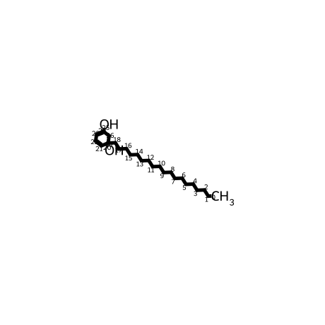 CCCCCCCCCCCCCCCCCCCC1(O)C=CC=C(O)C1